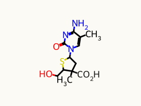 Cc1cn(C2CC(C)(C(=O)O)C(CO)S2)c(=O)nc1N